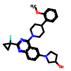 COc1ccccc1C1CCN(c2nc(C3(F)CC3)nc3ccc(N4CCC(O)C4)cc23)CC1